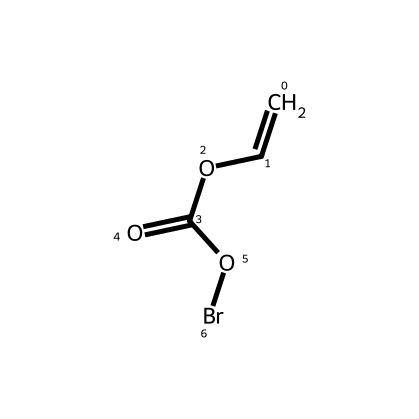 C=COC(=O)OBr